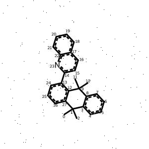 CC1(C)c2ccccc2C(C)(C)c2c(-c3ccc4ccccc4n3)cccc21